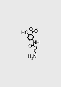 COC(=O)c1cc(NC(=O)OCCN)ccc1O